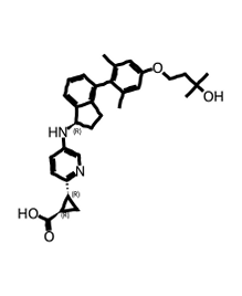 Cc1cc(OCCC(C)(C)O)cc(C)c1-c1cccc2c1CC[C@H]2Nc1ccc([C@@H]2C[C@H]2C(=O)O)nc1